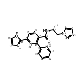 C[C@H](Cn1ccnn1)NC(=O)c1ncc(-c2ncco2)nc1-c1ccccn1